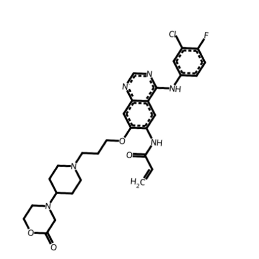 C=CC(=O)Nc1cc2c(Nc3ccc(F)c(Cl)c3)ncnc2cc1OCCCN1CCC(N2CCOC(=O)C2)CC1